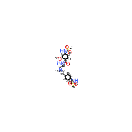 COc1cc(NS(C)(=O)=O)ccc1C(=O)NCCN(C)CCc1ccc(NS(C)(=O)=O)cc1